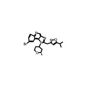 CC(C)c1cc(Cc2nc3cnc4ccc(Br)cc4c3n2C2CCO[C@H](C)C2)no1